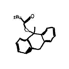 CC(C)(C)C(=O)OC1(C)c2ccccc2Cc2ccccc21